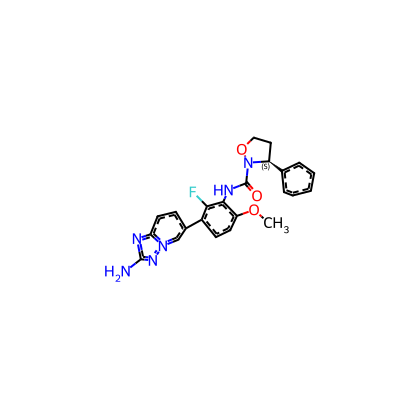 COc1ccc(-c2ccc3nc(N)nn3c2)c(F)c1NC(=O)N1OCC[C@H]1c1ccccc1